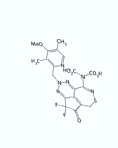 COc1c(C)cnc(CN2N=C3C(N(C(=O)O)C(=O)O)=NSCC4=C3C(=N2)C(F)(F)C4=O)c1C